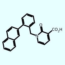 O=C(O)c1cccn(Cc2ccccc2-c2ccc3ccccc3c2)c1=O